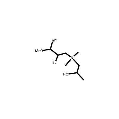 CCCC(OC)C(CC)C[N+](C)(C)CC(C)O